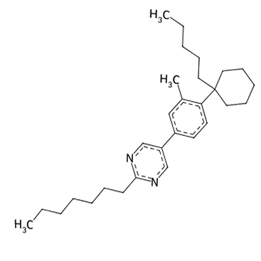 CCCCCCCc1ncc(-c2ccc(C3(CCCCC)CCCCC3)c(C)c2)cn1